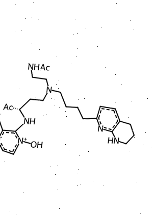 CC(=O)NCCN(CCCCc1ccc2c(n1)NCCC2)CC[C@H](Nc1c(C#N)ncc[n+]1O)C(C)=O